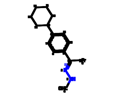 CCC/C(=N\NC=O)c1ccc(C2CCCCC2)cc1